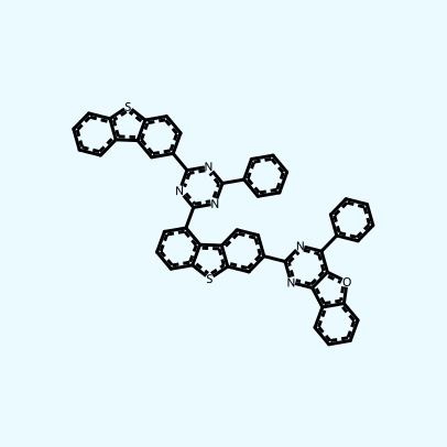 c1ccc(-c2nc(-c3ccc4sc5ccccc5c4c3)nc(-c3cccc4sc5cc(-c6nc(-c7ccccc7)c7oc8ccccc8c7n6)ccc5c34)n2)cc1